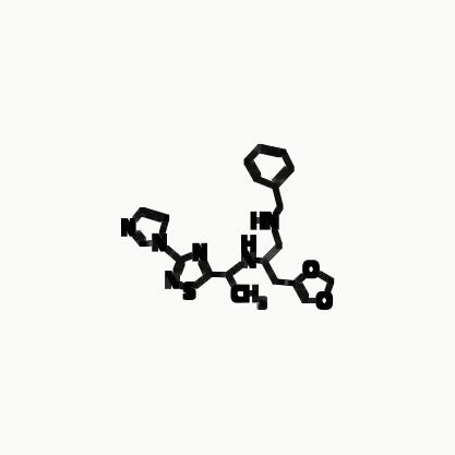 CC(NC(CNCc1ccccc1)CC1=COCO1)c1nc(-n2ccnc2)ns1